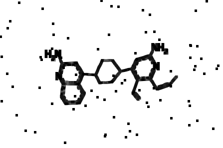 C=Cc1c(C2CCC(c3cc(N)nc4ccccc34)CC2)cc(N)nc1/C=C\C